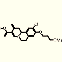 C=C1CC2c3cc(Cl)c(OCCCOC)cc3CCN2C=C1C(=C)OCC